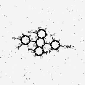 COc1cc(F)c(-c2c3cccc(F)c3c(-c3ccc(F)c(F)c3)c3c(F)ccc(F)c23)c(F)c1